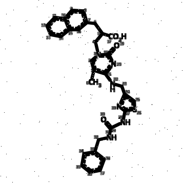 Cc1cn(CC(Cc2ccc3ccccc3c2)C(=O)O)c(=O)nc1NCc1csc(NC(=O)NCc2ccccc2)n1